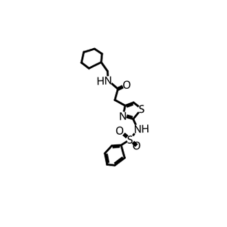 O=C(Cc1csc(NS(=O)(=O)c2ccccc2)n1)NCC1CCCCC1